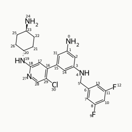 Nc1cc(NCc2cc(F)cc(F)c2)cc(-c2cc(N[C@H]3CC[C@H](N)CC3)ncc2Cl)c1